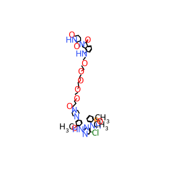 COc1cc(N2CCN(C(=O)CCOCCOCCOCCOCCOCCNc3cccc4c3CN(C3CCC(=O)NC3=O)C4=O)CC2)ccc1Nc1ncc(Cl)c(Nc2ccccc2P(C)(C)=O)n1